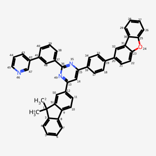 CC1(C)c2ccccc2-c2ccc(-c3cc(-c4ccc(-c5ccc6oc7ccccc7c6c5)cc4)nc(-c4cccc(-c5cccnc5)c4)n3)cc21